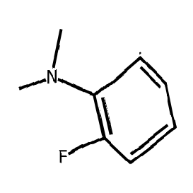 CN(C)c1[c]cccc1F